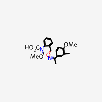 COCN(C(=O)O)c1ccccc1CO/N=C(/C)c1ccc(OC)c(C)c1